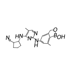 Cc1cnc(Nc2cc(C)c3c(c2)COB3O)nc1NC1CCCC1C#N